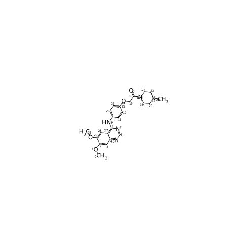 COc1cc2ncnc(Nc3ccc(OCC(=O)N4CCN(C)CC4)cc3)c2cc1OC